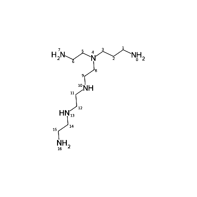 NCCCN(CCN)CCNCCNCCN